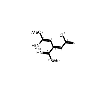 C=C(Cl)/C=C(\C=C(/N)OC)C(=N)SC